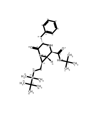 CC(C)(C)NC(=O)[C@@H]1N[C@@H](Cc2ccccc2)C(=O)N2[C@H]1[C@H]2CO[Si](C)(C)C(C)(C)C